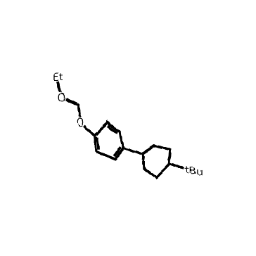 CCOCOc1ccc(C2CCC(C(C)(C)C)CC2)cc1